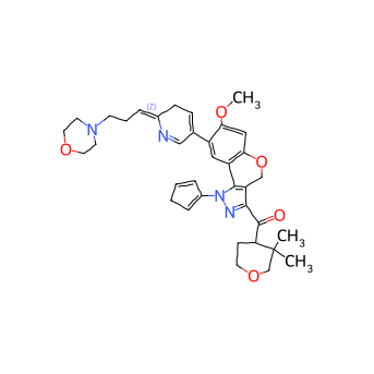 COc1cc2c(cc1C1=CC/C(=C/CCN3CCOCC3)N=C1)-c1c(c(C(=O)C3CCOCC3(C)C)nn1C1=CCC=C1)CO2